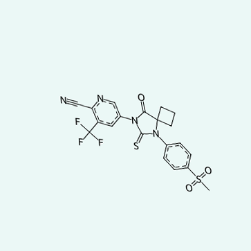 CS(=O)(=O)c1ccc(N2C(=S)N(c3cnc(C#N)c(C(F)(F)F)c3)C(=O)C23CCC3)cc1